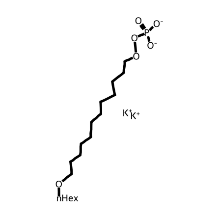 CCCCCCOCCCCCCCCCCCCOOP(=O)([O-])[O-].[K+].[K+]